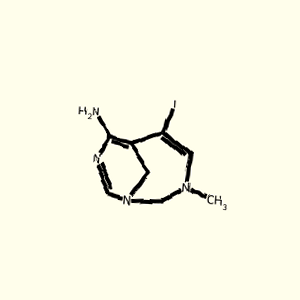 CN1C=C(I)C2=C(N)N=CN(C2)C1